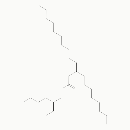 CCCCCCCCCCC(CCCCCCCC)CC(=O)OCC(CC)CCCC